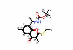 CCSc1oc2c(C(C)NC(=O)OC(C)(C)C)cc(C)cc2c(=O)c1C